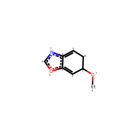 CCOC1C=c2ocnc2=CC1